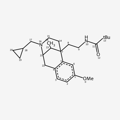 COc1ccc2c(c1)C1(CCNC(=O)C(C)(C)C)CCN(CC3CC3)C(C2)C1C